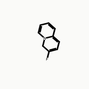 FC1=CC=C2C=CC=CN2C1